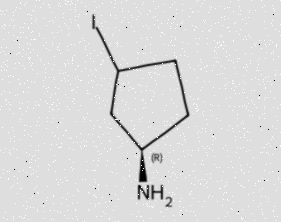 N[C@@H]1CCC(I)C1